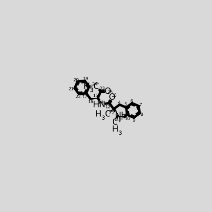 CN[C@@](C)(Cc1ccccc1F)C(=O)N[C@@H](Cc1ccccc1)C(C)=O